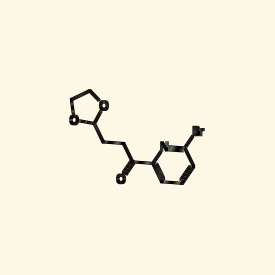 O=C(CCC1OCCO1)c1cccc(Br)n1